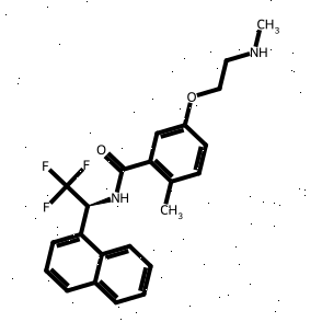 CNCCOc1ccc(C)c(C(=O)N[C@@H](c2cccc3ccccc23)C(F)(F)F)c1